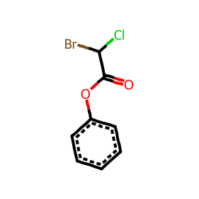 O=C(Oc1ccccc1)C(Cl)Br